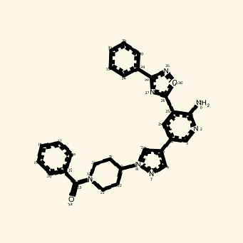 Nc1ncc(-c2cnn(C3CCN(C(=O)c4ccccc4)CC3)c2)cc1-c1nc(-c2ccccc2)no1